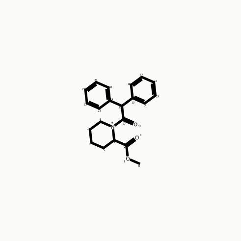 COC(=O)C1CCCCN1C(=O)C(c1ccccc1)c1ccccc1